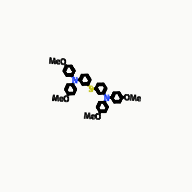 COc1ccc(N(c2ccc(OC)cc2)c2cccc(Sc3cccc(N(c4ccc(OC)cc4)c4ccc(OC)cc4)c3)c2)cc1